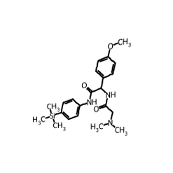 COc1ccc(C(NC(=O)CN(C)C)C(=O)Nc2ccc([Si](C)(C)C)cc2)cc1